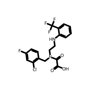 O=C(O)C(=O)N(CCNc1ccccc1C(F)(F)F)Cc1ccc(F)cc1Cl